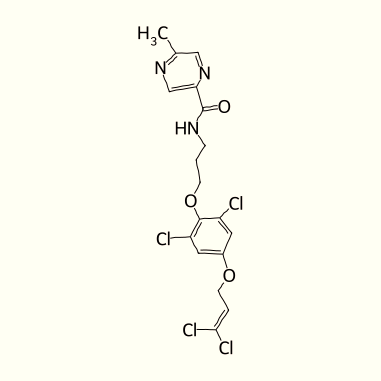 Cc1cnc(C(=O)NCCCOc2c(Cl)cc(OCC=C(Cl)Cl)cc2Cl)cn1